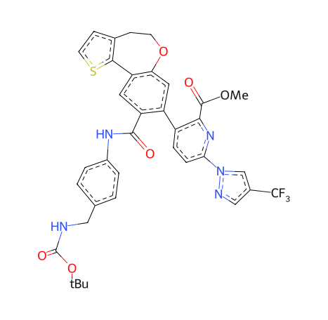 COC(=O)c1nc(-n2cc(C(F)(F)F)cn2)ccc1-c1cc2c(cc1C(=O)Nc1ccc(CNC(=O)OC(C)(C)C)cc1)-c1sccc1CCO2